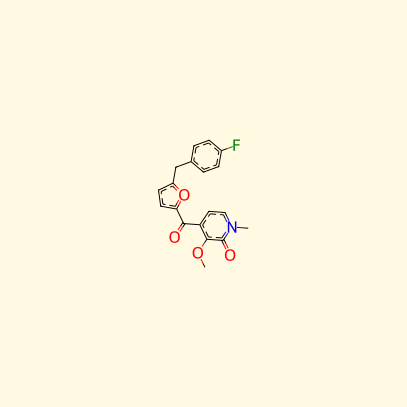 COc1c(C(=O)c2ccc(Cc3ccc(F)cc3)o2)ccn(C)c1=O